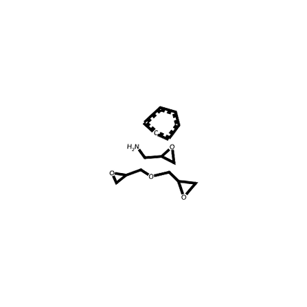 C(OCC1CO1)C1CO1.NCC1CO1.c1ccccc1